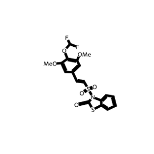 COc1cc(/C=C/S(=O)(=O)n2c(=O)sc3ccccc32)cc(OC)c1OC(F)F